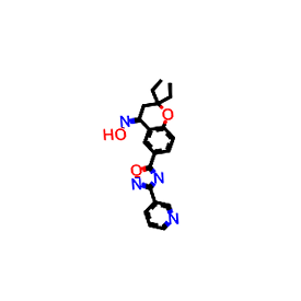 CCC1(CC)C/C(=N/O)c2cc(-c3nc(-c4cccnc4)no3)ccc2O1